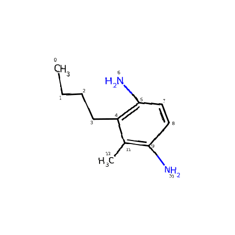 CCCCc1c(N)ccc(N)c1C